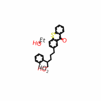 CCO.O=c1c2ccccc2sc2ccc(CCCC(CO)c3ccccc3[N+](=O)[O-])cc12